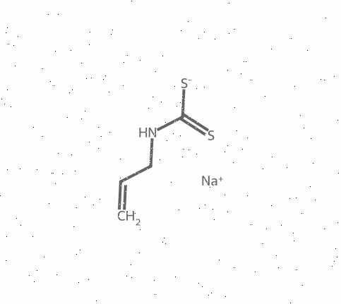 C=CCNC(=S)[S-].[Na+]